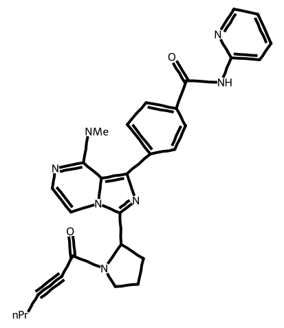 CCCC#CC(=O)N1CCCC1c1nc(-c2ccc(C(=O)Nc3ccccn3)cc2)c2c(NC)nccn12